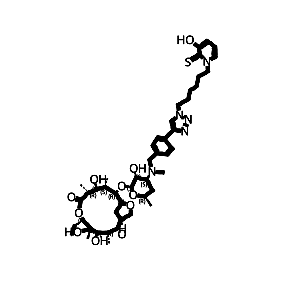 CC[C@H]1OC(=O)[C@H](C)[C@@H](O)[C@H](C)[C@@H](O[C@@H]2O[C@H](C)C[C@H](N(C)Cc3ccc(-c4cn(CCCCCCn5cccc(O)c5=S)nn4)cc3)[C@H]2O)[C@@]2(C)C[C@@H](CO2)C(=O)[C@H](C)[C@@H](O)[C@]1(C)O